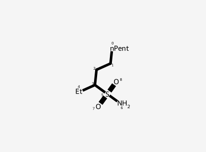 CCCCCCCC(CC)S(N)(=O)=O